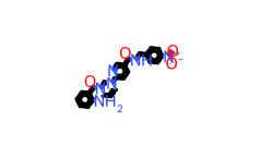 Nc1ccccc1C(=O)N1CC=CN(c2ccc(C(=O)NCc3ccc([N+](=O)[O-])cc3)cn2)C1